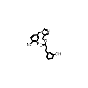 N#Cc1ccc(Cn2cncc2COC(=O)CCc2cccc(O)c2)cc1F